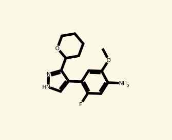 COc1cc(-c2c[nH]nc2C2CCCCO2)c(F)cc1N